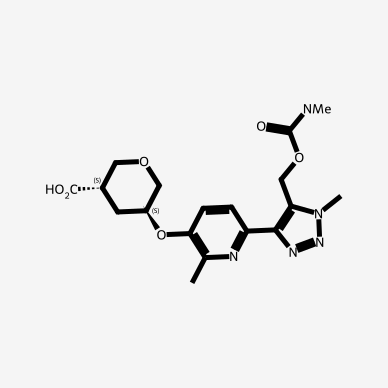 CNC(=O)OCc1c(-c2ccc(O[C@@H]3COC[C@@H](C(=O)O)C3)c(C)n2)nnn1C